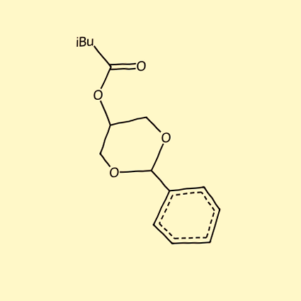 CCC(C)C(=O)OC1COC(c2ccccc2)OC1